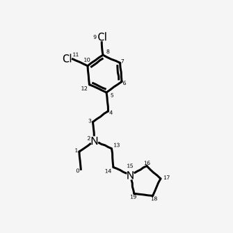 CCN(CCc1ccc(Cl)c(Cl)c1)CCN1CCCC1